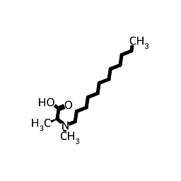 CCCCCCCCCCCCN(C)[C@@H](C)C(=O)O